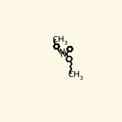 CCCCCC1CCC(C(=NN=Cc2ccc(CC)cc2)c2ccccc2)CC1